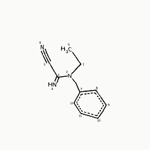 CCN(C(=N)C#N)c1ccccc1